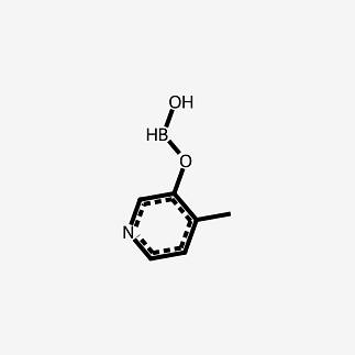 Cc1ccncc1OBO